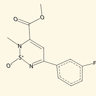 COC(=O)C1=CC(c2cccc(F)c2)=N[S+]([O-])N1C